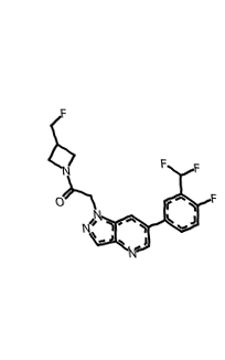 O=C(Cn1ncc2ncc(-c3ccc(F)c(C(F)F)c3)cc21)N1CC(CF)C1